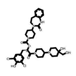 O=C(O[C@H](Cc1cc(Cl)c(O)c(Cl)c1)C(=O)N1CCC(N2CCC(O)(CO)CC2)CC1)N1CCC(N2CCc3ccccc3NC2=O)CC1